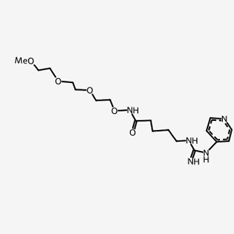 COCCOCCOCCONC(=O)CCCCNC(=N)Nc1ccncc1